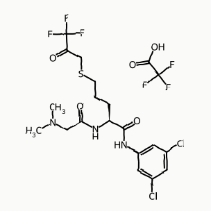 CN(C)CC(=O)N[C@@H](CCCSCC(=O)C(F)(F)F)C(=O)Nc1cc(Cl)cc(Cl)c1.O=C(O)C(F)(F)F